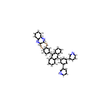 c1cncc(-c2cc(-c3cccnc3)cc(-c3c4ccccc4c(-c4ccc5c(c4)Sc4nc6ccccc6nc4S5)c4ccccc34)c2)c1